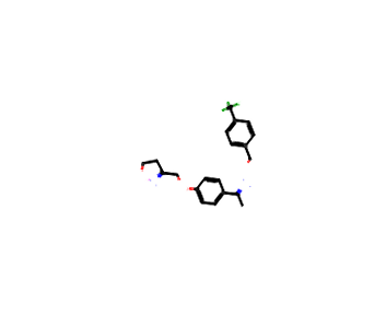 CC(=NOCc1ccc(C(F)(F)F)cc1)c1ccc(OCC2=NOCC2)cc1